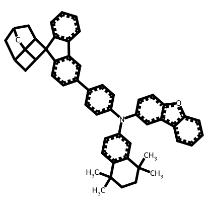 CC1(C)CCC(C)(C)c2cc(N(c3ccc(-c4ccc5c(c4)-c4ccccc4C54C5CC6CC7CC4C75C6)cc3)c3ccc4oc5ccccc5c4c3)ccc21